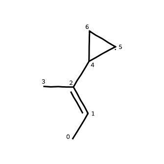 CC=C(C)C1[CH]C1